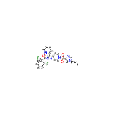 Cn1cnc(S(=O)(=O)N2CCC(C(NC(=O)c3c(F)cccc3F)c3ccccn3)CC2)c1